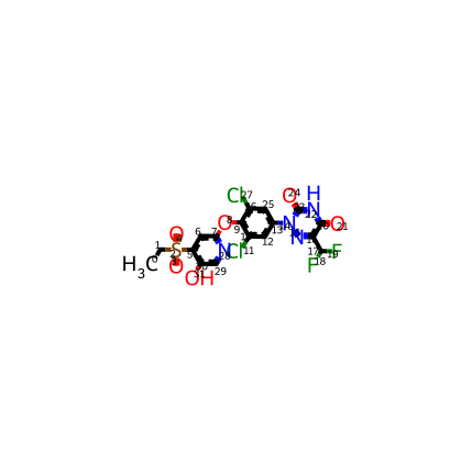 CCS(=O)(=O)c1cc(Oc2c(Cl)cc(-n3nc(C(F)F)c(=O)[nH]c3=O)cc2Cl)ncc1O